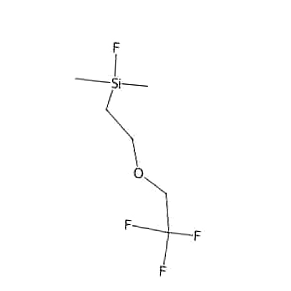 C[Si](C)(F)CCOCC(F)(F)F